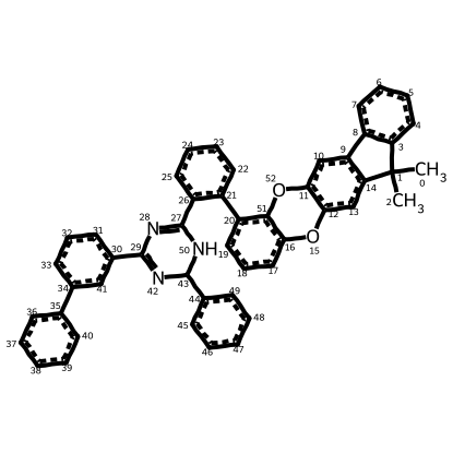 CC1(C)c2ccccc2-c2cc3c(cc21)Oc1cccc(-c2ccccc2C2=NC(c4cccc(-c5ccccc5)c4)=NC(c4ccccc4)N2)c1O3